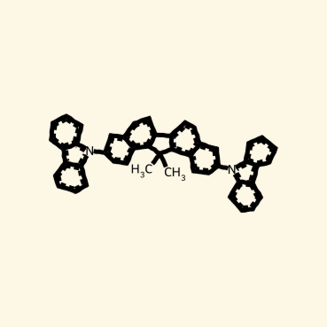 CC1(C)c2c(ccc3cc(-n4c5ccccc5c5ccccc54)ccc23)-c2ccc3cc(-n4c5ccccc5c5ccccc54)ccc3c21